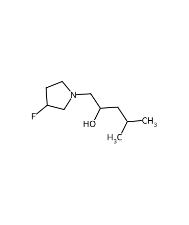 CC(C)CC(O)CN1CCC(F)C1